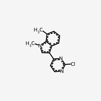 Cc1cccc2c(-c3ccnc(Cl)n3)cn(C)c12